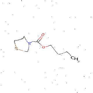 CCCCOC(=O)N1CCSC1